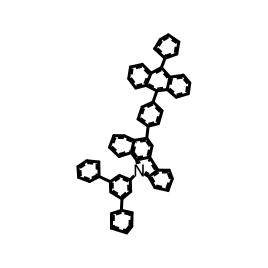 c1ccc(-c2cc(-c3ccccc3)cc(-n3c4ccccc4c4cc(-c5ccc(-c6c7ccccc7c(-c7ccccc7)c7ccccc67)cc5)c5ccccc5c43)c2)cc1